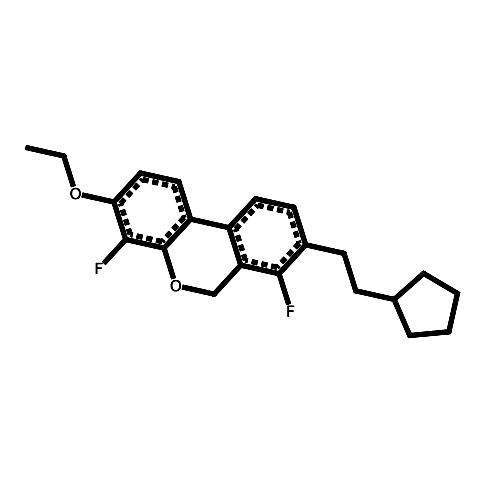 CCOc1ccc2c(c1F)OCc1c-2ccc(CCC2CCCC2)c1F